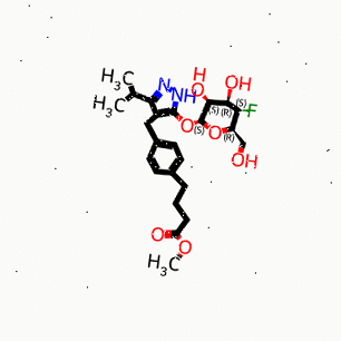 COC(=O)CCCc1ccc(Cc2c(C(C)C)n[nH]c2O[C@@H]2O[C@H](CO)[C@@H](F)[C@H](O)[C@@H]2O)cc1